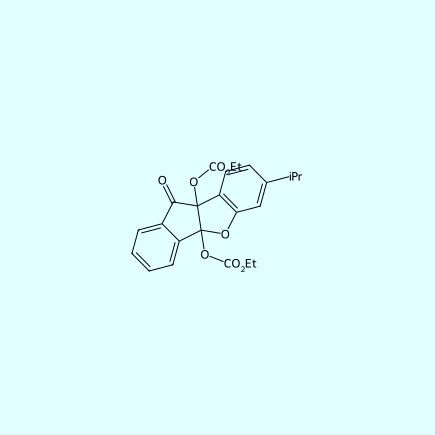 CCOC(=O)OC12Oc3cc(C(C)C)ccc3C1(OC(=O)OCC)C(=O)c1ccccc12